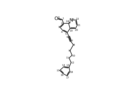 O=Cc1ccc(C#CCCCCCc2ccccc2)c2cccnc12